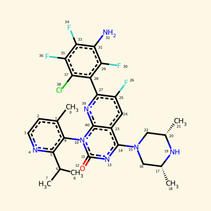 Cc1ccnc(C(C)C)c1-n1c(=O)nc(N2C[C@@H](C)N[C@@H](C)C2)c2cc(F)c(-c3c(F)c(N)c(F)c(F)c3Cl)nc21